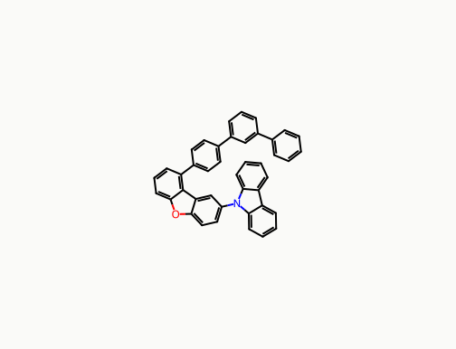 c1ccc(-c2cccc(-c3ccc(-c4cccc5oc6ccc(-n7c8ccccc8c8ccccc87)cc6c45)cc3)c2)cc1